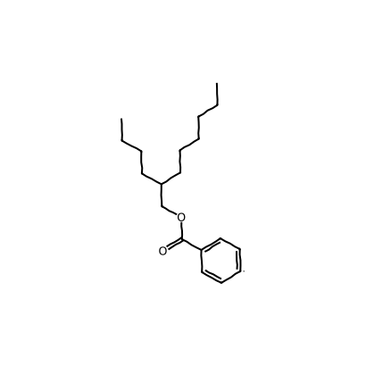 CCCCCCC(CCCC)COC(=O)c1cc[c]cc1